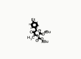 CCc1ccc(CC(=O)[C@H](C)N(C(=O)OC(C)(C)C)C(=O)OC(C)(C)C)cc1